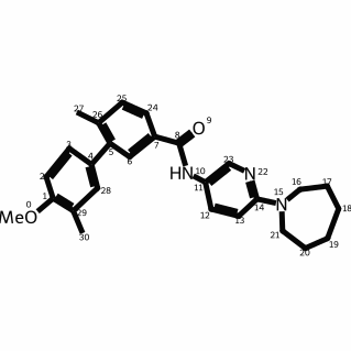 COc1ccc(-c2cc(C(=O)Nc3ccc(N4CCCCCC4)nc3)ccc2C)cc1C